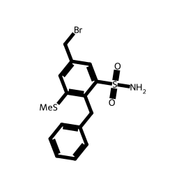 CSc1cc(CBr)cc(S(N)(=O)=O)c1Cc1ccccc1